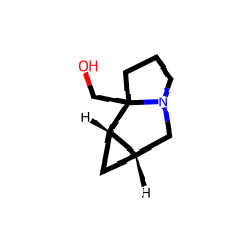 OCC12CCCN1C[C@@H]1C[C@@H]12